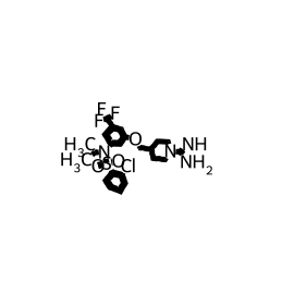 CC(C)N(c1cc(OCC2CCN(C(=N)N)CC2)cc(C(F)(F)F)c1)S(=O)(=O)c1ccccc1Cl